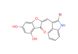 O=C1C(=Cc2c(Br)[nH]c3ccccc23)Oc2cc(O)cc(O)c21